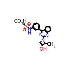 C[C@H]1[C@H](O)CN1c1nc2c(c(-c3cccc(NS(=O)(=O)CC(=O)O)c3)n1)CCC2